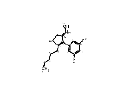 CCCCCC1=C(c2cc(F)cc(F)c2)C(=NO)CC1